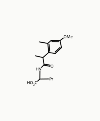 COc1ccc(C(C)C(=O)NC(C(=O)O)C(C)C)c(C)c1